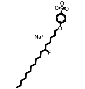 CCCCCCCCCCCC(F)CCCC=COc1ccc(S(=O)(=O)[O-])cc1.[Na+]